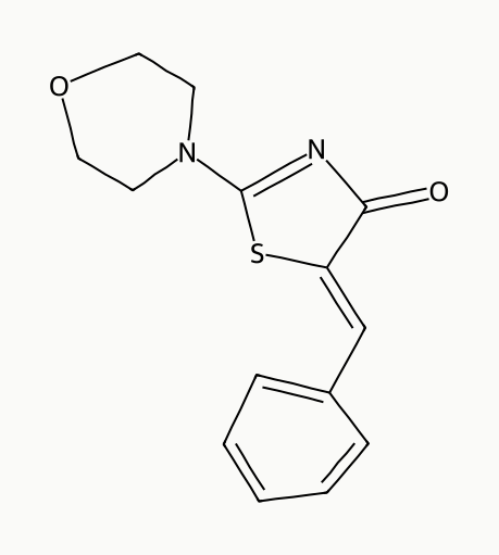 O=C1N=C(N2CCOCC2)SC1=Cc1ccccc1